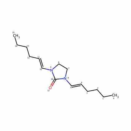 CCCC/C=C/N1CCN(/C=C/CCCC)C1=O